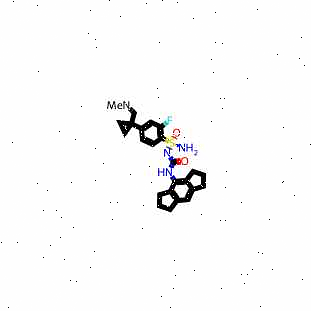 CNCC1(c2ccc([S@](N)(=O)=NC(=O)Nc3c4c(cc5c3CCC5)CCC4)c(F)c2)CC1